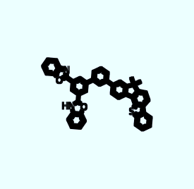 CC1(C)c2cc(-c3cccc(-c4cc(-c5nc6ccccc6o5)cc(C5Nc6ccccc6O5)c4)c3)ccc2-c2c1ccc1c2sc2ccccc21